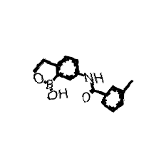 Cc1cccc(C(=O)Nc2ccc3c(c2)B(O)OCC3)c1